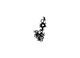 CCOc1ccc(COc2nsc(S(C)(=O)=O)c2C(=O)OC)cc1